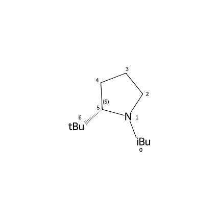 CCC(C)N1CCC[C@H]1C(C)(C)C